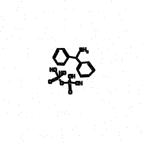 O=P(O)(O)OP(=O)(O)O.[SiH3]C(c1ccccc1)c1ccccc1